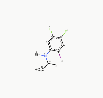 CCN(c1cc(F)c(F)cc1I)[C@@H](C)C(=O)O